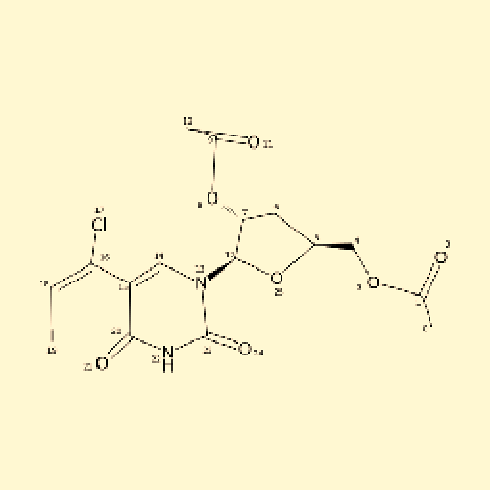 CC(=O)OC[C@@H]1C[C@@H](OC(C)=O)[C@H](n2cc(/C(Cl)=C\I)c(=O)[nH]c2=O)O1